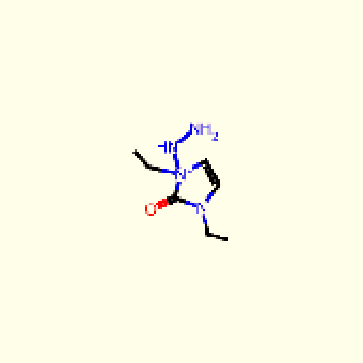 CCN1C=C[N+](CC)(NN)C1=O